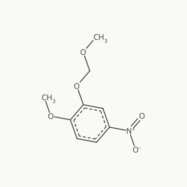 COCOc1cc([N+](=O)[O-])ccc1OC